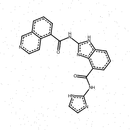 O=C(Nc1nc2c(C(=O)Nc3ncc[nH]3)cccc2[nH]1)c1cccc2cnccc12